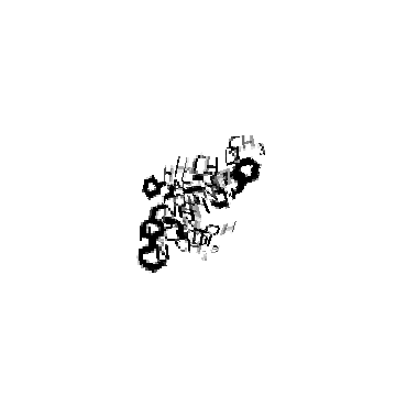 COc1cccc(CN2CCN([C@H](C(=O)N[C@@H](Cc3ccccc3)[C@@H](O)C[C@H](Cc3ccc(-c4ccccn4)cc3)NC(=O)[C@@H](NC(=O)O)C(C)(C)C)C(C)(C)C)C2=O)c1